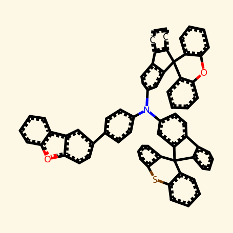 c1ccc2c(c1)Oc1ccccc1C21c2ccccc2-c2ccc(N(c3ccc(-c4ccc5oc6ccccc6c5c4)cc3)c3ccc4c(c3)C3(c5ccccc5Sc5ccccc53)c3ccccc3-4)cc21